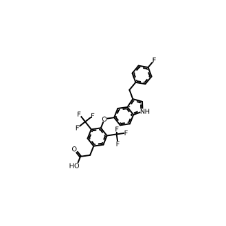 O=C(O)Cc1cc(C(F)(F)F)c(Oc2ccc3[nH]cc(Cc4ccc(F)cc4)c3c2)c(C(F)(F)F)c1